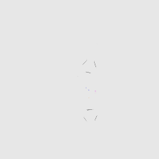 O=C(O)CCc1cccc2c1OC1CC(O)C(CNS(=O)(=O)Cc3ccccc3)C21